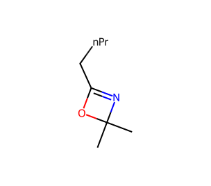 CCCCC1=NC(C)(C)O1